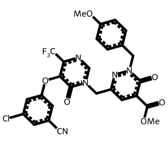 COC(=O)c1cc(Cn2cnc(C(F)(F)F)c(Oc3cc(Cl)cc(C#N)c3)c2=O)nn(Cc2ccc(OC)cc2)c1=O